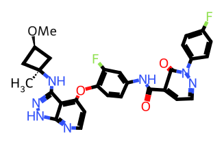 CO[C@H]1C[C@@](C)(Nc2n[nH]c3nccc(Oc4ccc(NC(=O)c5ccnn(-c6ccc(F)cc6)c5=O)cc4F)c23)C1